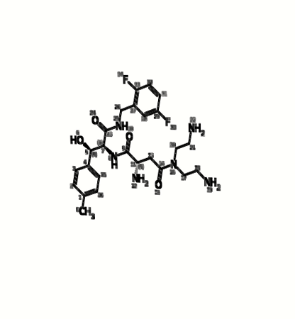 Cc1ccc([C@@H](O)[C@H](NC(=O)[C@@H](N)CC(=O)N(CCN)CCN)C(=O)NCc2cc(F)ccc2F)cc1